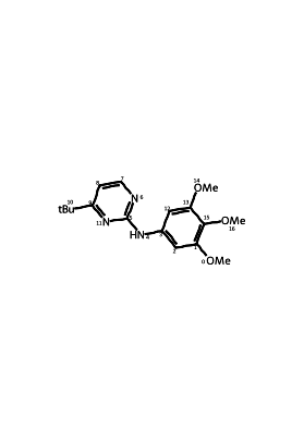 COc1cc(Nc2nccc(C(C)(C)C)n2)cc(OC)c1OC